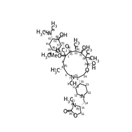 CO[C@]1(C)C[C@@H](C)CN(C)[C@@H](C2CCN(C[C@@H]3COC(=O)N3C)CC2)CO[C@@H](O)C(C)(C)C(=O)[C@H](C)[C@H]1O[C@@H]1O[C@H](C)C[C@H](N(C)C)[C@H]1O